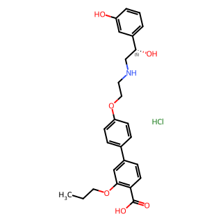 CCCOc1cc(-c2ccc(OCCNC[C@@H](O)c3cccc(O)c3)cc2)ccc1C(=O)O.Cl